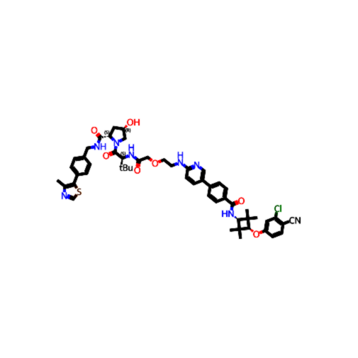 Cc1ncsc1-c1ccc(CNC(=O)[C@@H]2C[C@@H](O)CN2C(=O)[C@@H](NC(=O)COCCNc2ccc(-c3ccc(C(=O)N[C@H]4C(C)(C)[C@H](Oc5ccc(C#N)c(Cl)c5)C4(C)C)cc3)cn2)C(C)(C)C)cc1